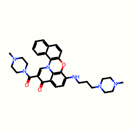 CN1CCN(CCCNc2ccc3c(=O)c(C(=O)N4CCN(C)CC4)cn4c3c2Oc2ccc3ccccc3c2-4)CC1